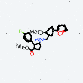 COC(=O)C1CCC(NCc2cc(-c3ccco3)ccc2OC)C1c1ccc(F)cc1